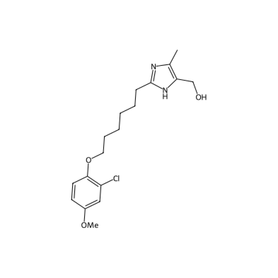 COc1ccc(OCCCCCCc2nc(C)c(CO)[nH]2)c(Cl)c1